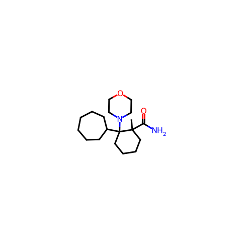 CC1(C(N)=O)CCCCC1(C1CCCCCC1)N1CCOCC1